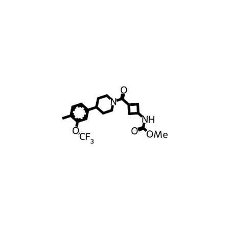 COC(=O)NC1CC(C(=O)N2CCC(c3ccc(C)c(OC(F)(F)F)c3)CC2)C1